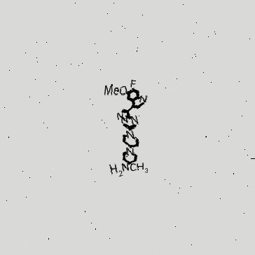 COc1cc2c(-c3cnn4cc(N5CCC(N6CCC(C)(N)CC6)CC5)cnc34)ccnc2cc1F